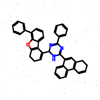 C1=Cc2c(cc(C3=NC(c4ccccc4)=NC(C4=CCCc5oc6c(-c7ccccc7)cccc6c54)N3)c3ccccc23)CC1